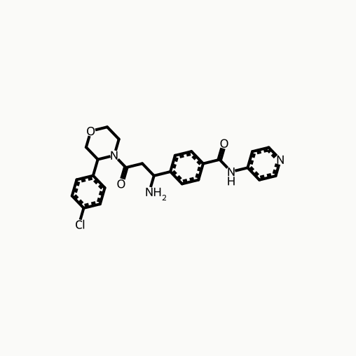 NC(CC(=O)N1CCOCC1c1ccc(Cl)cc1)c1ccc(C(=O)Nc2ccncc2)cc1